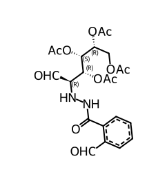 CC(=O)OC[C@@H](OC(C)=O)[C@@H](OC(C)=O)[C@H](OC(C)=O)[C@H](C=O)NNC(=O)c1ccccc1C=O